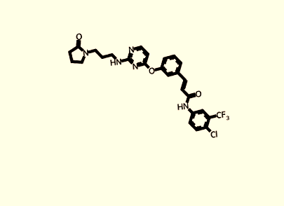 O=C(C=Cc1cccc(Oc2ccnc(NCCCN3CCCC3=O)n2)c1)Nc1ccc(Cl)c(C(F)(F)F)c1